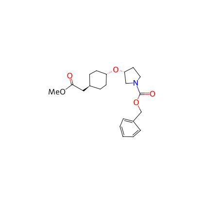 COC(=O)C[C@H]1CC[C@H](O[C@@H]2CCN(C(=O)OCc3ccccc3)C2)CC1